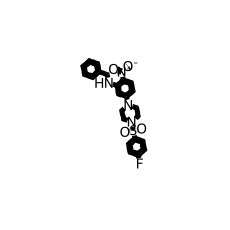 O=[N+]([O-])c1ccc(N2CCN(S(=O)(=O)c3ccc(F)cc3)CC2)cc1NCc1ccccc1